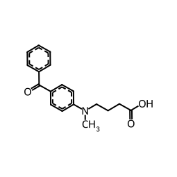 CN(CCCC(=O)O)c1ccc(C(=O)c2ccccc2)cc1